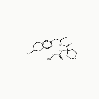 CN1CCc2cc(C[C@@H](C#N)NC(=O)C3(NC(=O)OC(C)(C)C)CCOCC3)ccc2C1